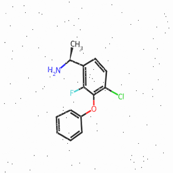 C[C@H](N)c1ccc(Cl)c(Oc2ccccc2)c1F